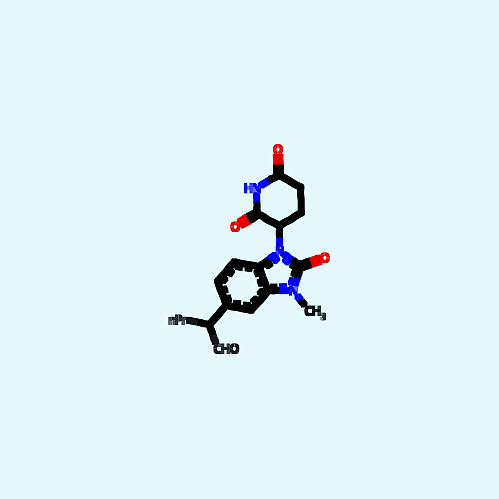 CCCC(C=O)c1ccc2c(c1)n(C)c(=O)n2C1CCC(=O)NC1=O